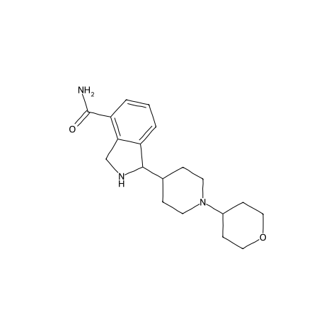 NC(=O)c1cccc2c1CNC2C1CCN(C2CCOCC2)CC1